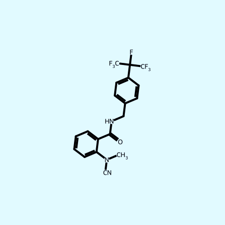 CN(C#N)c1ccccc1C(=O)NCc1ccc(C(F)(C(F)(F)F)C(F)(F)F)cc1